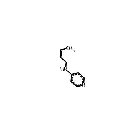 C/C=C\CNc1ccncc1